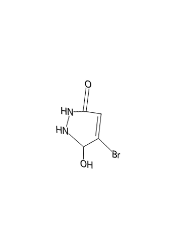 O=C1C=C(Br)C(O)NN1